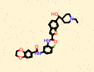 CCN1CCC(C(O)c2ccc3cc(C(=O)Nc4cc(NC(=O)c5ccc6c(c5)OCCO6)ccc4F)sc3c2)CC1